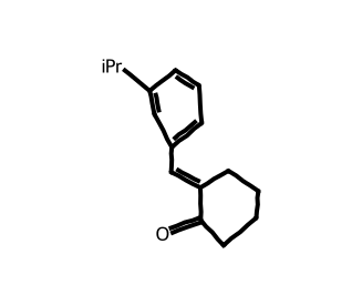 CC(C)c1cccc(/C=C2\CCCCC2=O)c1